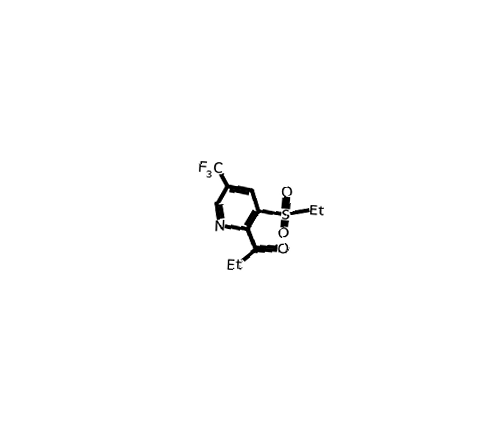 CCC(=O)c1ncc(C(F)(F)F)cc1S(=O)(=O)CC